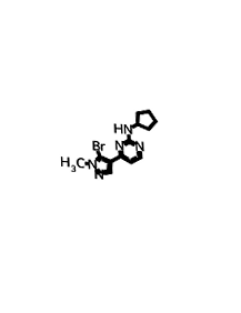 Cn1ncc(-c2ccnc(NC3CCCC3)n2)c1Br